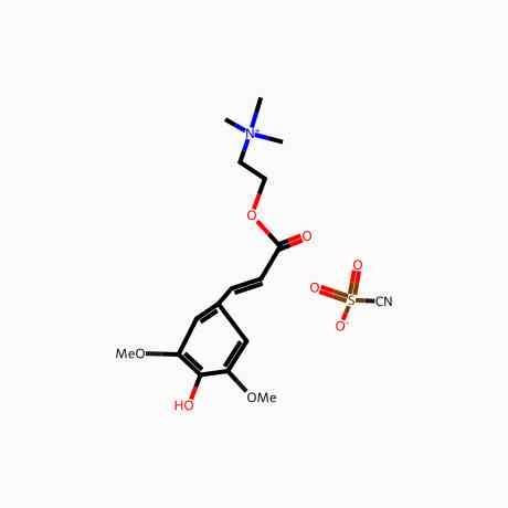 COc1cc(C=CC(=O)OCC[N+](C)(C)C)cc(OC)c1O.N#CS(=O)(=O)[O-]